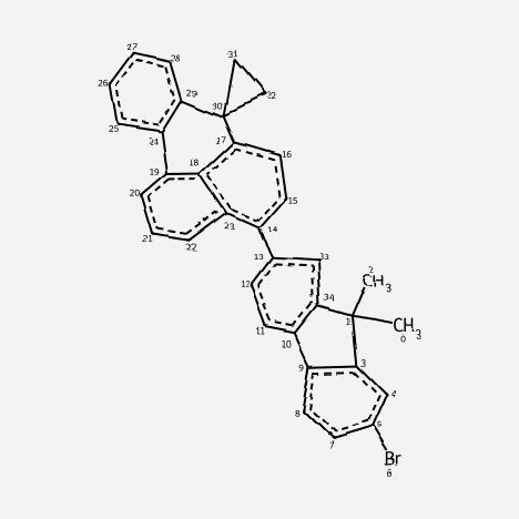 CC1(C)c2cc(Br)ccc2-c2ccc(-c3ccc4c5c(cccc35)-c3ccccc3C43CC3)cc21